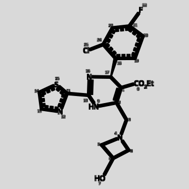 CCOC(=O)C1=C(CN2CC(O)C2)NC(c2nccs2)=N[C@H]1c1ccc(F)cc1Cl